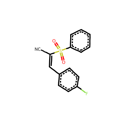 N#CC(=Cc1ccc(F)cc1)S(=O)(=O)c1ccccc1